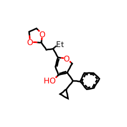 CCC(CC1OCCO1)C1=CC(O)=C(C(c2ccccc2)C2CC2)CO1